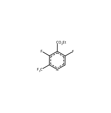 CCOC(=O)c1c(F)cnc(C(F)(F)F)c1F